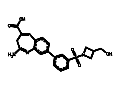 NC1=Nc2cc(-c3cccc(S(=O)(=O)N4CC(CO)C4)c3)ccc2C=C(C(=O)O)C1